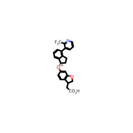 O=C(O)CC1COc2cc(O[C@@H]3CCc4c(-c5cccnc5C(F)(F)F)cccc43)ccc21